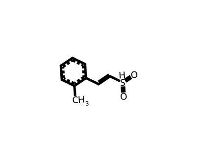 Cc1ccccc1C=C[SH](=O)=O